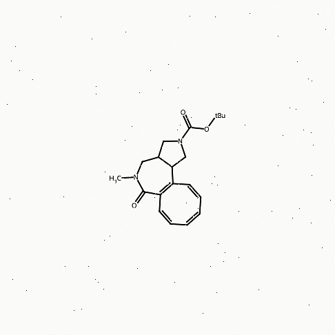 CN1CC2CN(C(=O)OC(C)(C)C)CC2C2=C(\C=C/C=C\C=C/2)C1=O